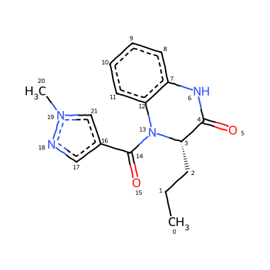 CCC[C@H]1C(=O)Nc2ccccc2N1C(=O)c1cnn(C)c1